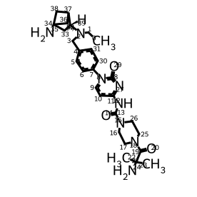 CCN(Cc1ccc(-n2ccc(NC(=O)N3CCN(C(=O)C(C)(C)N)CC3)nc2=O)cc1)[C@@H]1CC2(N)CC1C2